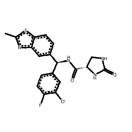 Cc1nc2cc([C@@H](NC(=O)[C@@H]3CNC(=O)N3)c3ccc(F)c(Cl)c3)ccc2s1